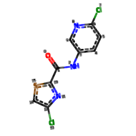 O=C(Nc1ccc(Cl)nc1)c1nc(Cl)cs1